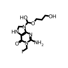 Nc1nc2c(c(=O)n1CI)NCN2C(O)OCCCO